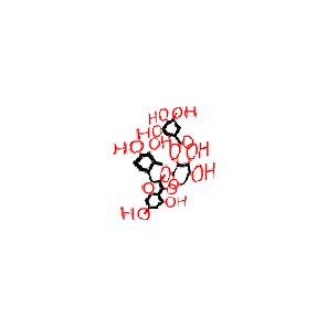 Cc1c(-c2oc3cc(O)cc(O)c3c(=O)c2OC2OCC(O)C(O)C2OC(=O)c2cc(O)c(O)c(O)c2)ccc(O)c1O